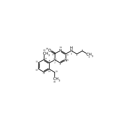 CCCNc1ncn(-c2c(C)cccc2CC)c(=O)n1